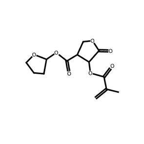 C=C(C)C(=O)OC1C(=O)OCC1C(=O)OC1CCCO1